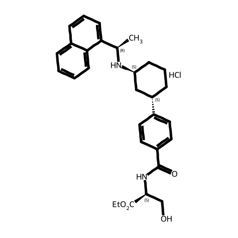 CCOC(=O)[C@H](CO)NC(=O)c1ccc([C@H]2CCC[C@H](N[C@H](C)c3cccc4ccccc34)C2)cc1.Cl